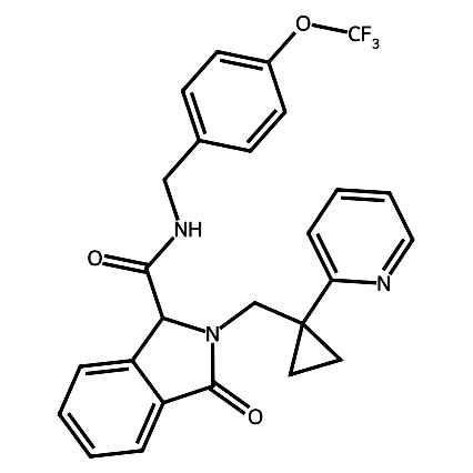 O=C(NCc1ccc(OC(F)(F)F)cc1)C1c2ccccc2C(=O)N1CC1(c2ccccn2)CC1